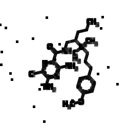 CCCC(CNC(=O)c1nc(Cl)c(N)nc1N)[N+](C)(C)CCCc1ccc(OC)cc1